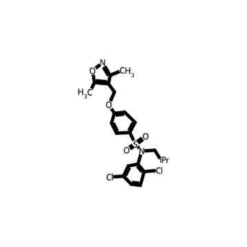 Cc1noc(C)c1COc1ccc(S(=O)(=O)N(CC(C)C)c2cc(Cl)ccc2Cl)cc1